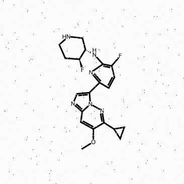 COc1cc2ncc(-c3ccc(F)c(N[C@H]4CNCC[C@@H]4F)n3)n2nc1C1CC1